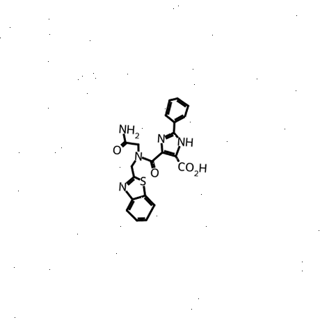 NC(=O)CN(Cc1nc2ccccc2s1)C(=O)c1nc(-c2ccccc2)[nH]c1C(=O)O